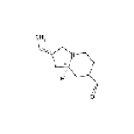 CC=C1C[C@@H]2CC(C=O)CCN2C1